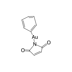 O=C1C=CC(=O)[N]1[Au][c]1ccccc1